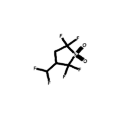 O=S1(=O)C(F)(F)CC(C(F)F)C1(F)F